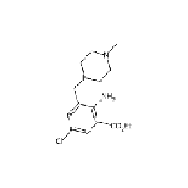 CCOC(=O)c1cc(Cl)cc(CN2CCN(C)CC2)c1N